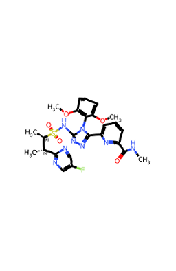 CNC(=O)c1cccc(-c2nnc(NS(=O)(=O)[C@H](C)[C@@H](C)c3ncc(F)cn3)n2-c2c(OC)cccc2OC)n1